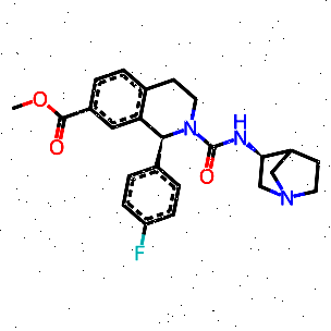 COC(=O)c1ccc2c(c1)[C@H](c1ccc(F)cc1)N(C(=O)N[C@@H]1CN3CCC1C3)CC2